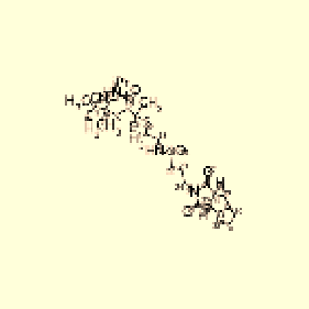 CC(C)NC(=O)C(CC(C)(C)C(C)(C)C#N)C(C)(C)SCCNC(=O)CCCN1C(=O)[C@@H]2C3C4C=CC(C43)[C@@H]2C1=O